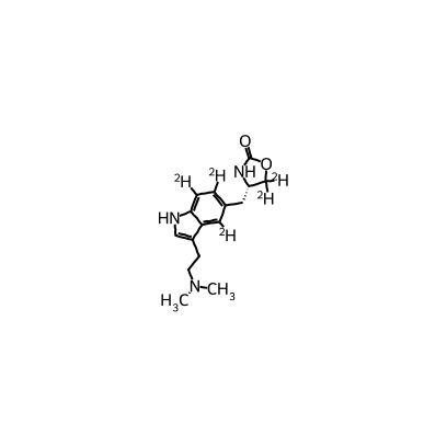 [2H]c1c(C[C@@H]2NC(=O)OC2([2H])[2H])c([2H])c2c(CCN(C)C)c[nH]c2c1[2H]